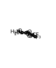 C[C@H](N(Cc1ccc(F)cc1)C(=O)CN1C(=O)O[C@@]2(CCc3cc(-c4ccc(NC(N)=O)cc4)ccc32)C1=O)C(F)(F)F